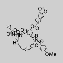 COc1ccc(S(=O)(=O)N[C@H]2CCCCC/C=C\[C@@H]3C[C@@]3(C(=O)NS(=O)(=O)C3CC3)NC(=O)[C@@H]3C[C@@H](OC(=O)N4Cc5cc6c(cc5C4)OCO6)CN3C2=O)cc1